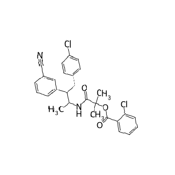 CC(NC(=O)C(C)(C)OC(=O)c1ccccc1Cl)C(Cc1ccc(Cl)cc1)c1cccc(C#N)c1